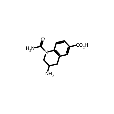 NC(=O)N1CC(N)Cc2cc(C(=O)O)ccc21